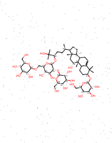 C[C@H](CC[C@@H](O[C@@H]1O[C@H](CO[C@@H]2O[C@H](CO)[C@@H](O)[C@H](O)[C@H]2O)[C@@H](O)[C@H](O)[C@H]1O[C@@H]1O[C@H](CO)[C@@H](O)[C@H](O)[C@H]1O)C(C)(C)O)C1CC[C@@]2(C)C3CC=C4C(CC[C@H](O[C@@H]5O[C@H](CO)[C@@H](O)[C@H](O)[C@H]5O)C4(C)C)[C@]3(C)[C@H](O)C[C@]12C